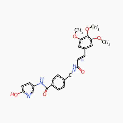 COc1cc(/C=C/C(=O)NCc2ccc(C(=O)Nc3ccc(O)nc3)cc2)cc(OC)c1OC